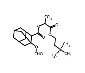 C[Si](C)(C)CCOC(=O)C(OC(=O)C1C2CC3CC(C2)CC1(O[C]=O)C3)C(Cl)(Cl)Cl